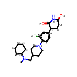 CN(CC1CCN(c2ccc(C3CCC(=O)NC3=O)cc2F)CC1)C1CCCCC1